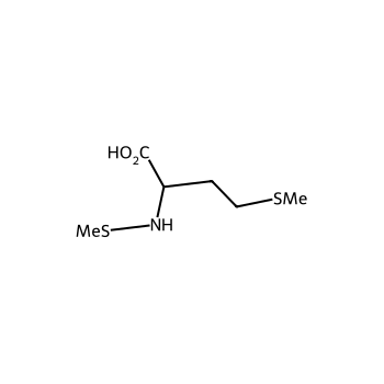 CSCCC(NSC)C(=O)O